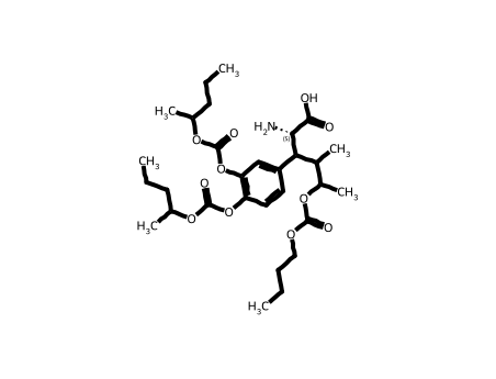 CCCCOC(=O)OC(C)C(C)C(c1ccc(OC(=O)OC(C)CCC)c(OC(=O)OC(C)CCC)c1)[C@H](N)C(=O)O